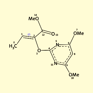 C/C=C(\Oc1nc(OC)cc(OC)n1)C(=O)OC